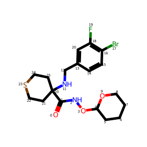 O=C(NOC1CCCCO1)C1(NCc2ccc(Br)c(F)c2)CCSCC1